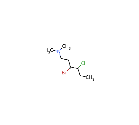 CCC(Cl)[C](Br)CCN(C)C